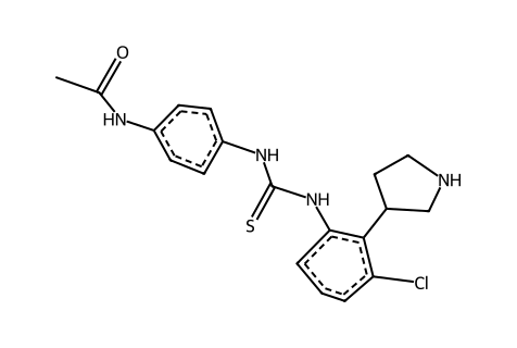 CC(=O)Nc1ccc(NC(=S)Nc2cccc(Cl)c2C2CCNC2)cc1